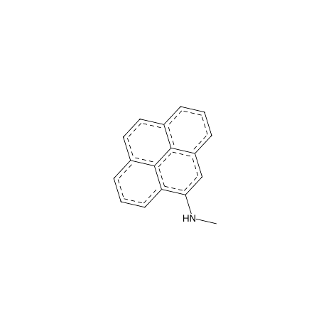 CNc1cc2cccc3ccc4cccc1c4c32